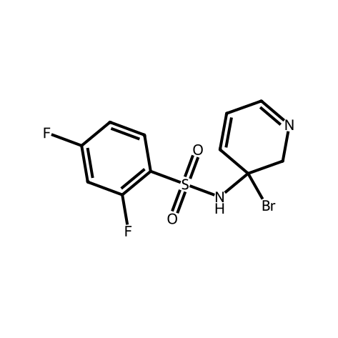 O=S(=O)(NC1(Br)C=CC=NC1)c1ccc(F)cc1F